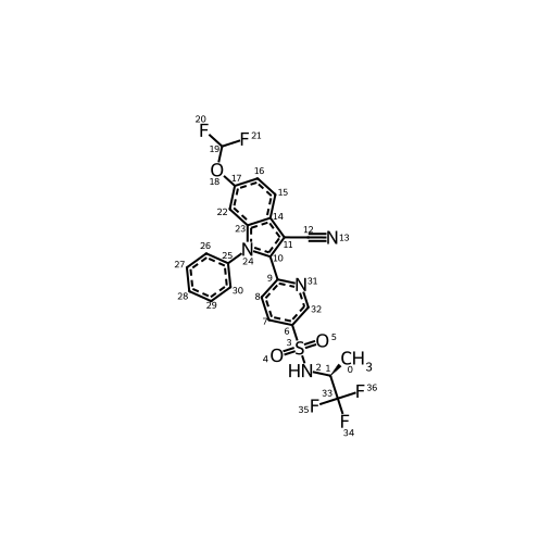 C[C@H](NS(=O)(=O)c1ccc(-c2c(C#N)c3ccc(OC(F)F)cc3n2-c2ccccc2)nc1)C(F)(F)F